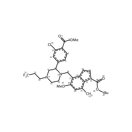 COC(=O)c1ccc(C2CN(CCC(F)(F)F)CCN2Cc2c(OC)cc(C)c3c2ccn3C(=O)OC(C)(C)C)cc1Cl